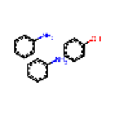 Nc1ccccc1.Nc1ccccc1.Oc1ccccc1